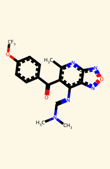 Cc1nc2nonc2c(N=CN(C)C)c1C(=O)c1ccc(OC(F)(F)F)cc1